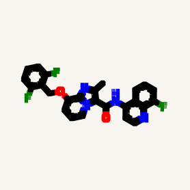 Cc1nc2c(OCc3c(F)cccc3F)cccn2c1C(=O)Nc1ccnc2c(F)cccc12